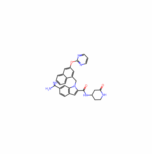 N=C(N)c1ccc2cc(C(=O)NC3CCNC(=O)C3)n(Cc3cc(Oc4ncccn4)cc4ccccc34)c2c1